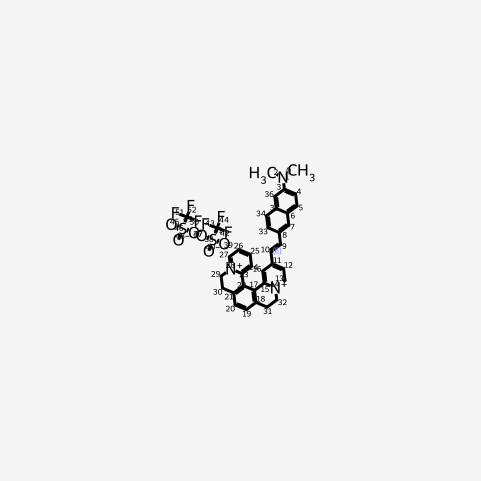 CN(C)c1ccc2cc(/C=C/c3cc[n+]4c(c3)-c3c(ccc5c3-c3cccc[n+]3CC5)CC4)ccc2c1.O=S(=O)([O-])C(F)(F)F.O=S(=O)([O-])C(F)(F)F